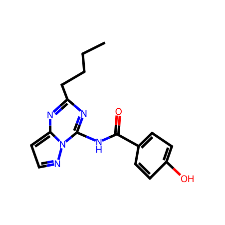 CCCCc1nc(NC(=O)c2ccc(O)cc2)n2nccc2n1